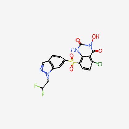 O=c1[nH]c2c(S(=O)(=O)c3ccc4cnn(CC(F)F)c4c3)ccc(Cl)c2c(=O)n1O